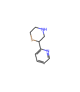 [c]1ccc(C2CNCCS2)nc1